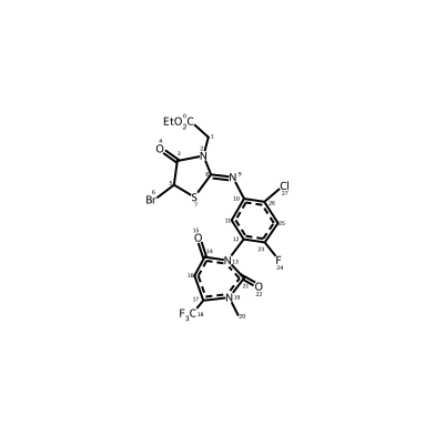 CCOC(=O)CN1C(=O)C(Br)SC1=Nc1cc(-n2c(=O)cc(C(F)(F)F)n(C)c2=O)c(F)cc1Cl